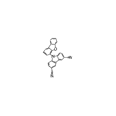 N#Cc1ccc2c(c1)c1cc(C#N)ccc1n2-c1cccc2c1oc1ccccc12